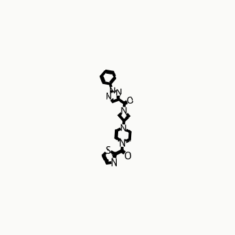 O=C(c1cnn(-c2ccccc2)n1)N1CC(N2CCN(C(=O)c3nccs3)CC2)C1